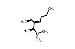 C=C/C(=C\CCC)C(=C)N(C)C